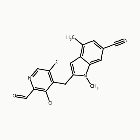 Cc1cc(C#N)cc2c1cc(Cc1c(Cl)cnc(C=O)c1Cl)n2C